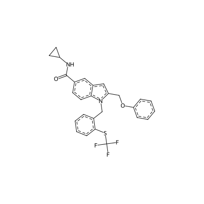 O=C(NC1CC1)c1ccc2c(c1)cc(COc1ccccc1)n2Cc1ccccc1SC(F)(F)F